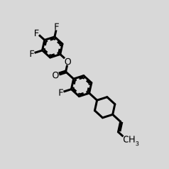 C/C=C/C1CCC(c2ccc(C(=O)Oc3cc(F)c(F)c(F)c3)c(F)c2)CC1